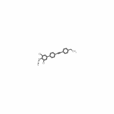 CCc1ccc(C#Cc2ccc(-c3cc(Cl)c(N=C=S)c(Cl)c3)cc2)cc1